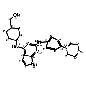 OCC1CCC(Nc2nc(Nc3ccc(N4CCOCC4)cc3)nc3[nH]ccc23)CC1